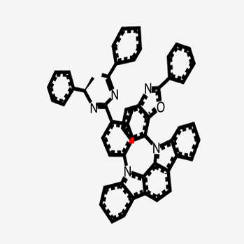 C/C(=N\C(=N/[C@H](C)c1ccccc1)c1ccc(-n2c3ccccc3c3ccc4c5ccccc5n(-c5cccc6nc(-c7ccccc7)oc56)c4c32)cc1C)c1ccccc1